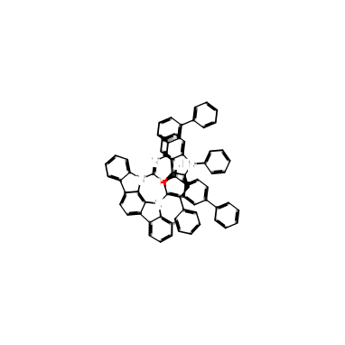 c1ccc(-c2ccc(C3=NC(n4c5ccccc5c5ccc6c7ccccc7n(-c7cc8c9ccccc9n(-c9ccccc9)c8cc7-c7ccccc7)c6c54)=NC(c4cccc(-c5ccccc5)c4)N3)cc2)cc1